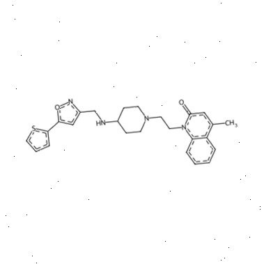 Cc1cc(=O)n(CCN2CCC(NCc3cc(-c4cccs4)on3)CC2)c2ccccc12